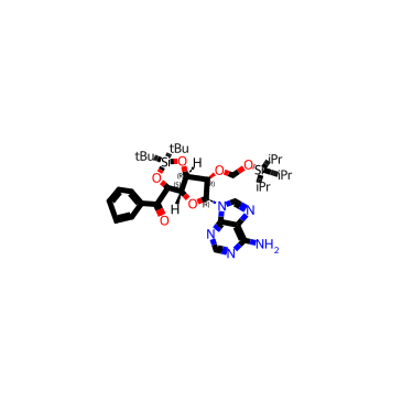 CC(C)[Si](OCO[C@@H]1[C@@H]2O[Si](C(C)(C)C)(C(C)(C)C)OC(C(=O)c3ccccc3)[C@H]2O[C@H]1n1cnc2c(N)ncnc21)(C(C)C)C(C)C